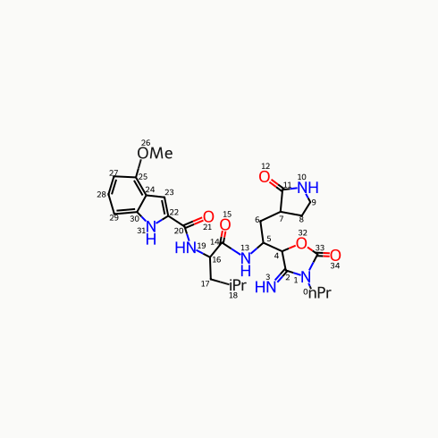 CCCN1C(=N)C(C(CC2CCNC2=O)NC(=O)C(CC(C)C)NC(=O)c2cc3c(OC)cccc3[nH]2)OC1=O